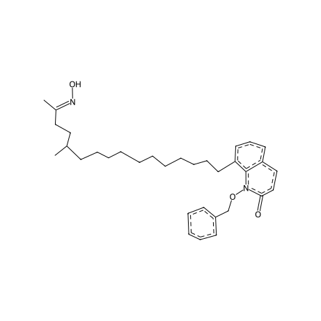 CC(CCC(C)CCCCCCCCCCCc1cccc2ccc(=O)n(OCc3ccccc3)c12)=NO